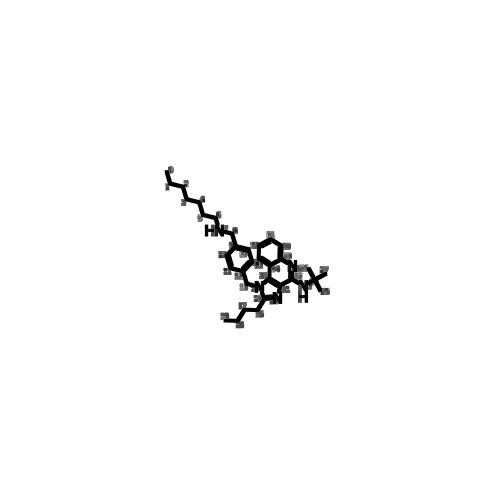 CCCCCCCNCc1ccc(Cn2c(CCCC)nc3c(NC(C)(C)C)nc4ccccc4c32)cc1